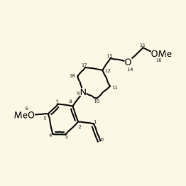 C=Cc1ccc(OC)cc1N1CCC(COCOC)CC1